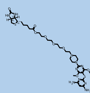 COc1nc(N2CCN(CCOCCOCCOCCOC(=O)CCCC[C@@H]3SC[C@@H]4NC(=O)N[C@@H]43)CC2)nc(OC)c1Sc1nc(N)cc(N)n1